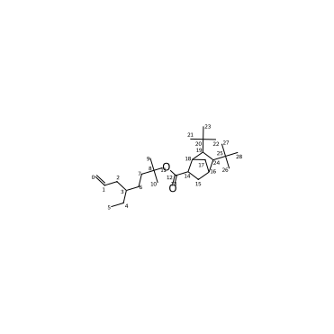 C=CCC(CC)CCC(C)(C)OC(=O)C1CC2CC1C(C(C)(C)C)C2C(C)(C)C